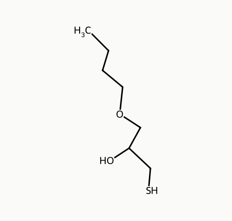 CCCCOCC(O)CS